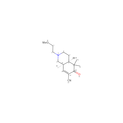 COCCN1CC[C@H]2C(C)(C)C(=O)C(C#N)=C[C@@]2(C)C1